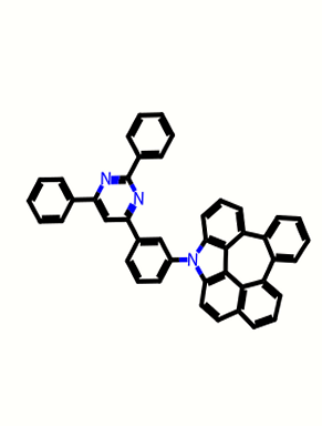 c1ccc(-c2cc(-c3cccc(-n4c5cccc6c5c5c7c(cccc7ccc54)-c4ccccc4-6)c3)nc(-c3ccccc3)n2)cc1